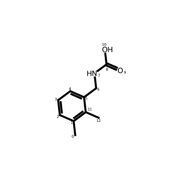 Cc1cccc(CNC(=O)O)c1C